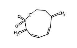 C=C1/C=C\C=C/C(=C)S(=O)(=O)CCC1